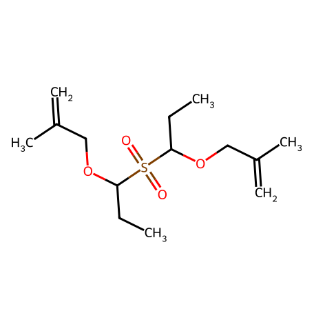 C=C(C)COC(CC)S(=O)(=O)C(CC)OCC(=C)C